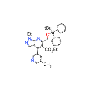 CCOC(=O)c1c(CO[Si](c2ccccc2)(c2ccccc2)C(C)(C)C)nc2c(cnn2CC)c1-c1cncc(C)c1